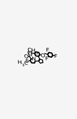 CCOC(=O)c1nc(C2=C(c3cc(Cl)ccc3OCc3c(F)cc(F)cc3F)CCC2)ccc1SC